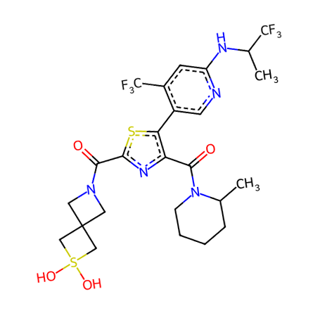 CC1CCCCN1C(=O)c1nc(C(=O)N2CC3(C2)CS(O)(O)C3)sc1-c1cnc(NC(C)C(F)(F)F)cc1C(F)(F)F